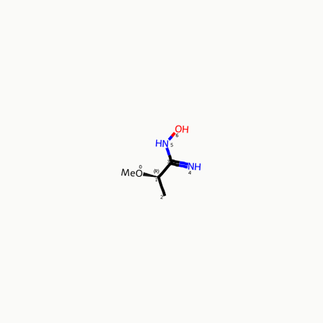 CO[C@H](C)C(=N)NO